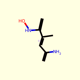 C=C(N)/C=C(\C)C(=C)NO